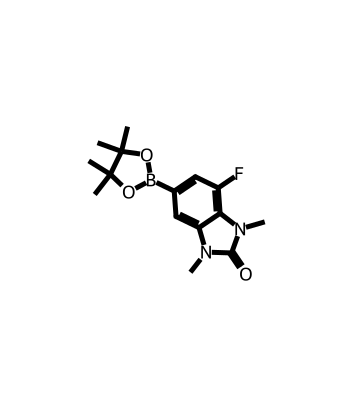 Cn1c(=O)n(C)c2c(F)cc(B3OC(C)(C)C(C)(C)O3)cc21